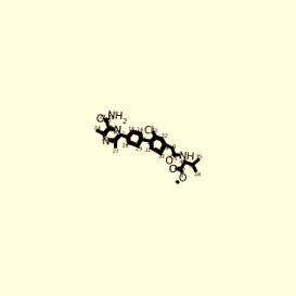 COC(=O)C(NC(=O)Cc1ccc(-c2ccc(-c3nc(C(N)=O)c(C)nc3C)cc2)c(Cl)c1)C(C)C